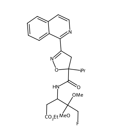 CCOC(=O)CC(NC(=O)C1(C(C)C)CC(c2nccc3ccccc23)=NO1)C(CF)(OC)OC